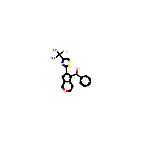 CC(C)(C)c1csc(-c2cc3coccc-3c2C(O)c2[c]cccc2)n1